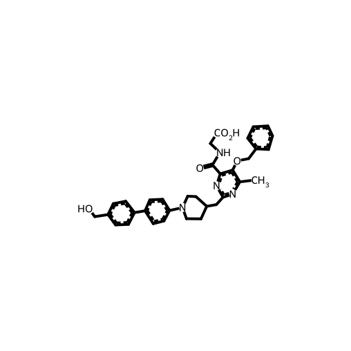 Cc1nc(CC2CCN(c3ccc(-c4ccc(CO)cc4)cc3)CC2)nc(C(=O)NCC(=O)O)c1OCc1ccccc1